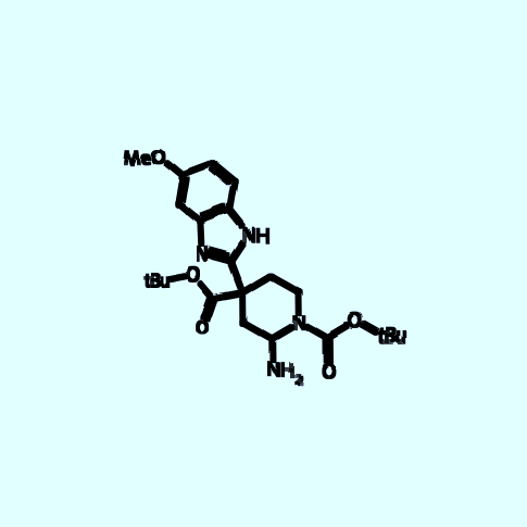 COc1ccc2[nH]c(C3(C(=O)OC(C)(C)C)CCN(C(=O)OC(C)(C)C)C(N)C3)nc2c1